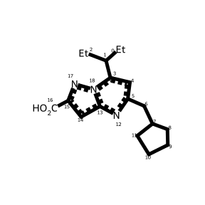 CCC(CC)c1cc(CC2CCCC2)nc2cc(C(=O)O)nn12